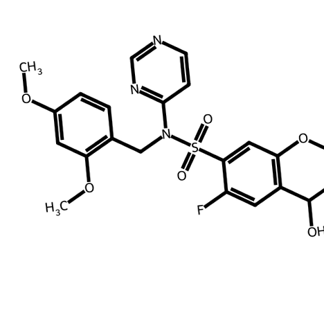 COc1ccc(CN(c2ccncn2)S(=O)(=O)c2cc3c(cc2F)C(O)CCO3)c(OC)c1